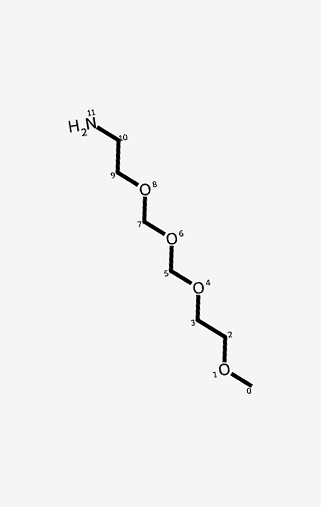 COCCOCOCOCCN